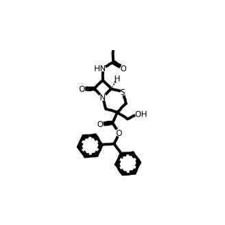 CC(=O)NC1C(=O)N2CC(CO)(C(=O)OC(c3ccccc3)c3ccccc3)CS[C@H]12